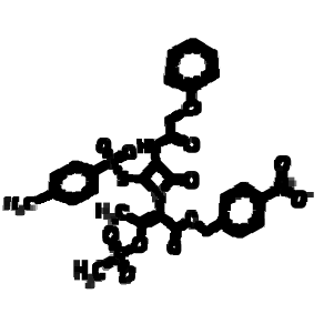 CC(OS(C)(=O)=O)=C(C(=O)OCc1ccc([N+](=O)[O-])cc1)N1C(=O)C(NC(=O)COc2ccccc2)C1SS(=O)(=O)c1ccc(C)cc1